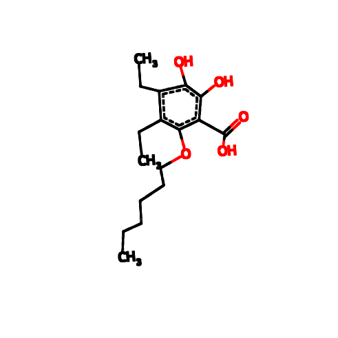 CCCCCCOc1c(CC)c(CC)c(O)c(O)c1C(=O)O